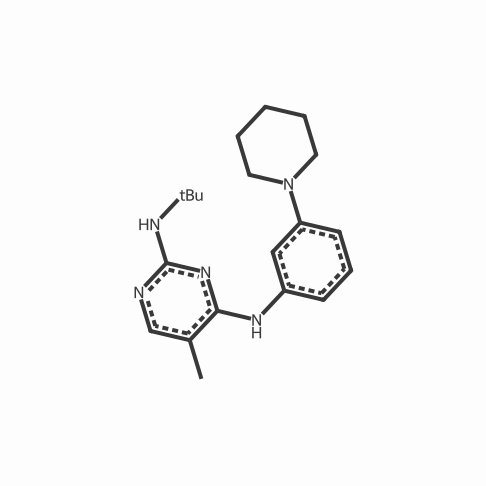 Cc1cnc(NC(C)(C)C)nc1Nc1cccc(N2CCCCC2)c1